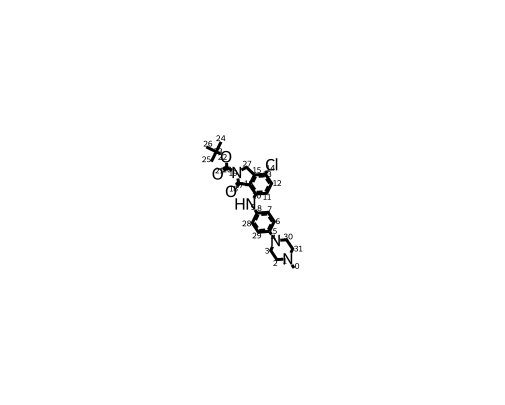 CN1CCN(c2ccc(Nc3ccc(Cl)c4c3C(=O)N(C(=O)OC(C)(C)C)C4)cc2)CC1